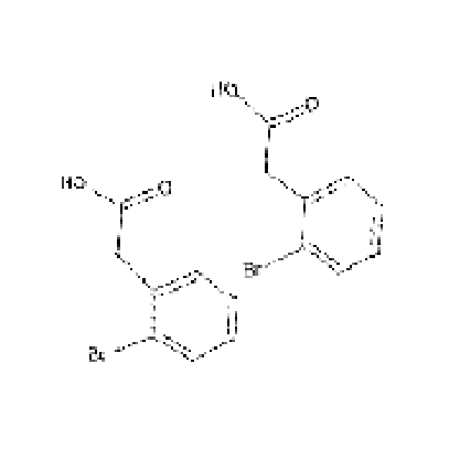 O=C(O)Cc1ccccc1Br.O=C(O)Cc1ccccc1Br